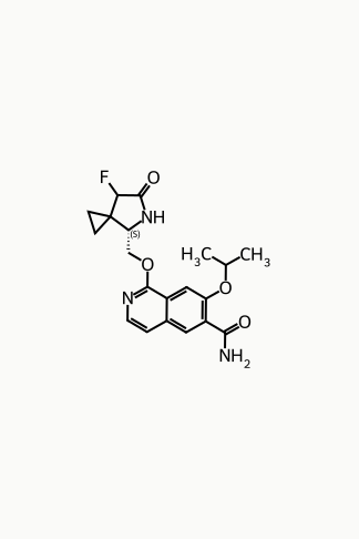 CC(C)Oc1cc2c(OC[C@H]3NC(=O)C(F)C34CC4)nccc2cc1C(N)=O